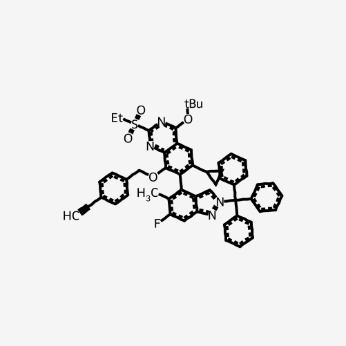 C#Cc1ccc(COc2c(-c3c(C)c(F)cc4nn(C(c5ccccc5)(c5ccccc5)c5ccccc5)cc34)c(C3CC3)cc3c(OC(C)(C)C)nc(S(=O)(=O)CC)nc23)cc1